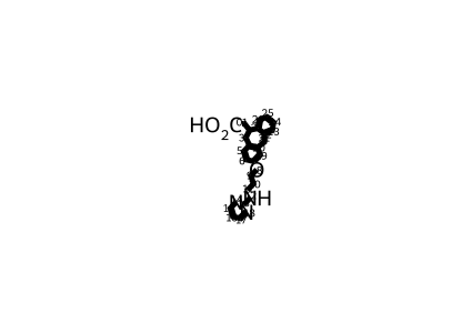 O=C(O)CC1Cc2ccc(OCCCNc3ncccn3)cc2Cc2ccccc21